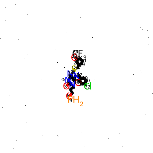 Cn1c(=O)n(CCCOP)c(=O)c2c1nc(SCc1cccc(OC(F)(F)F)c1)n2Cc1ccc(Cl)cc1